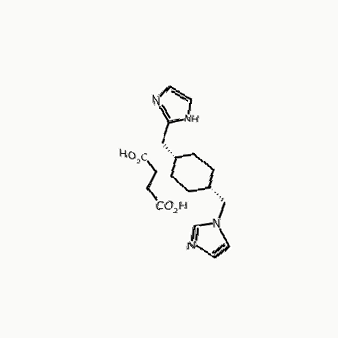 O=C(O)CCC(=O)O.c1cn(C[C@H]2CC[C@@H](Cc3ncc[nH]3)CC2)cn1